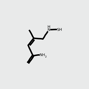 C=C(N)/C=C(/C)CNS